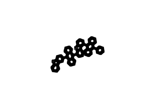 c1ccc(-c2c3ccccc3c(-c3cccc4sc5c(-c6c7ccccc7c(-c7ccc8oc9ccccc9c8c7)c7ccccc67)cccc5c34)c3ccccc23)cc1